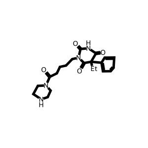 CCC1(c2ccccc2)C(=O)NC(=O)N(CCCCC(=O)N2CCNCC2)C1=O